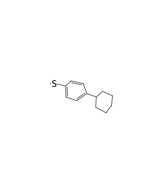 [S]c1ccc(C2CCCCC2)cc1